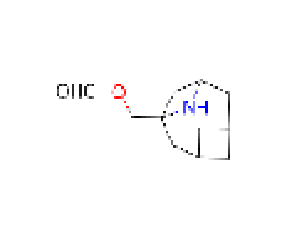 O=COCC12CC3CC(C3)CC(C1)N2